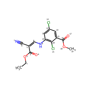 CCOC(=O)C(C#N)=CNc1cc(Cl)cc(C(=O)OC)c1Cl